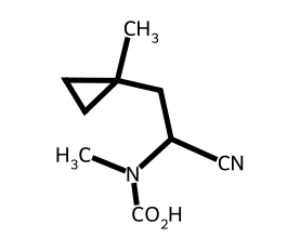 CN(C(=O)O)C(C#N)CC1(C)CC1